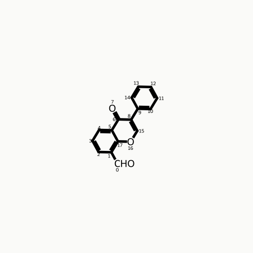 O=Cc1cccc2c(=O)c(-c3ccccc3)coc12